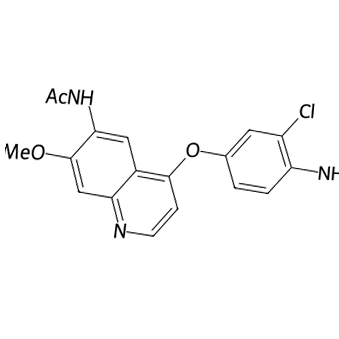 COc1cc2nccc(Oc3ccc(N)c(Cl)c3)c2cc1NC(C)=O